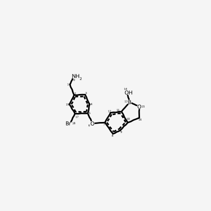 NCc1ccc(Oc2ccc3c(c2)B(O)OC3)c(Br)c1